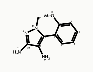 COc1ccccc1-c1c(N)c(N)nn1C